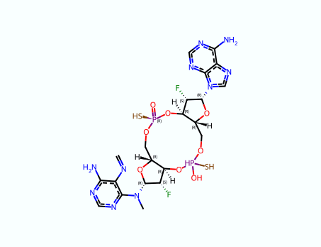 C=Nc1c(N)ncnc1N(C)[C@@H]1O[C@@H]2CO[P@@](=O)(S)O[C@H]3[C@H](F)[C@H](n4cnc5c(N)ncnc54)O[C@@H]3CO[PH](O)(S)O[C@H]2[C@@H]1F